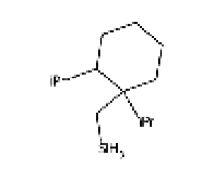 CC(C)C1CCCCC1(C[SiH3])C(C)C